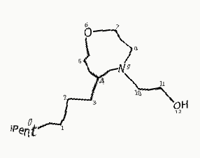 CCCC(C)CCCC1COCCN1CCO